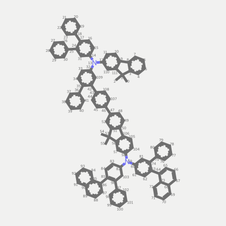 CC1(C)c2ccccc2-c2ccc(N(c3ccc(-c4ccccc4)c(-c4ccccc4)c3)c3ccc(-c4ccccc4)c(-c4ccc(-c5ccc6c(c5)C(C)(C)c5cc(N(c7ccc(C8=CC=CC9C=CC=CC89)c(-c8ccccc8)c7)C7C=CC(c8cccc9ccccc89)=C(c8ccccc8)C7)ccc5-6)cc4)c3)cc21